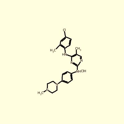 Cc1cc(Cl)ccc1Nc1nc(Nc2ccc(N3CCN(C)CC3)cc2)ncc1C.Cl